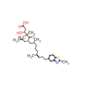 C=CC[C@H](C[C@@H](C)CCC/C(C)=C\CCc1ccc2sc(C)nc2c1)C(=O)C(C)(C)[C@@H](O)CC(=O)O